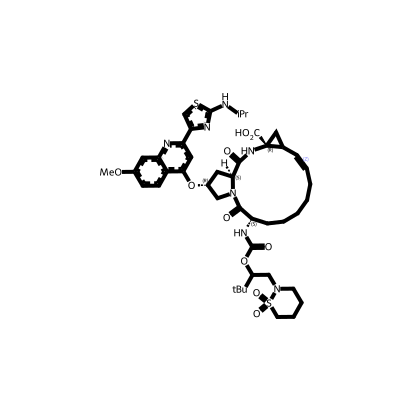 COc1ccc2c(O[C@@H]3C[C@H]4C(=O)N[C@]5(C(=O)O)CC5/C=C\CCCCC[C@H](NC(=O)OC(CN5CCCCS5(=O)=O)C(C)(C)C)C(=O)N4C3)cc(-c3csc(NC(C)C)n3)nc2c1